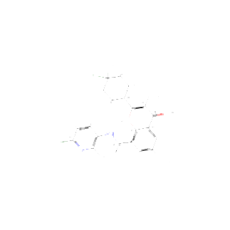 Cc1cc([C@@H](C)Nc2ccc(Cl)nc2C(=O)O)c2oc(C3CCC(F)(F)CC3)c(C)c(=O)c2c1